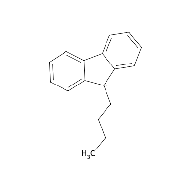 CCCC[C]1c2ccccc2-c2ccccc21